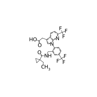 CCC1(C(=O)NCc2cc(C(F)(F)F)ccc2-n2cc(CC(=O)O)c3ccc(C(F)(F)F)nc32)CC1